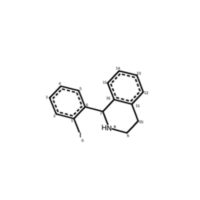 Ic1ccccc1C1NCCc2ccccc21